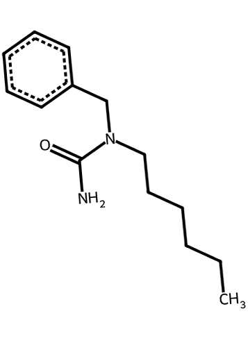 CCCCCCN(Cc1ccccc1)C(N)=O